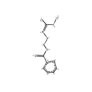 O=C(OCC/N=C(/Cl)SCl)c1ccccc1